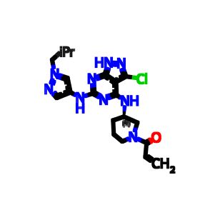 C=CC(=O)N1CCC[C@@H](Nc2nc(Nc3cnn(CC(C)C)c3)nc3[nH]nc(Cl)c23)C1